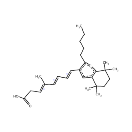 CCCCCc1cc2c(cc1/C=C/C=C/C(C)=C/CC(=O)O)C(C)(C)CCC2(C)C